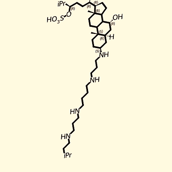 CC(C)CCNCCCNCCCCNCCCN[C@H]1CC[C@]2(C)C3CC[C@@]4(C)C(CC[C@@H]4[C@H](C)CC[C@@H](OS(=O)(=O)O)C(C)C)C3[C@H](O)C[C@H]2C1